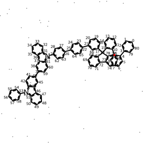 c1ccc(-c2ccccc2-c2ccccc2C2(c3cccc(-c4ccc(-c5ccc(-n6c7ccccc7c7cc(-c8ccc9c(c8)c8ccccc8n9-c8ccccc8)ccc76)cc5)cc4)c3)c3ccccc3-c3ccccc32)cc1